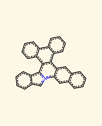 c1ccc2cc3c(cc2c1)c1c2ccccc2c2ccccc2c1c1c2ccccc2cn31